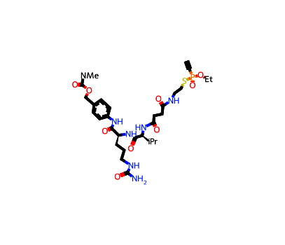 C#CP(=O)(OCC)SCCNC(=O)CCC(=O)N[C@H](C(=O)N[C@@H](CCCNC(N)=O)C(=O)Nc1ccc(COC(=O)NC)cc1)C(C)C